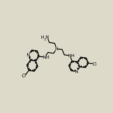 NCCN(CCNc1ccnc2cc(Cl)ccc12)CCNc1ccnc2cc(Cl)ccc12